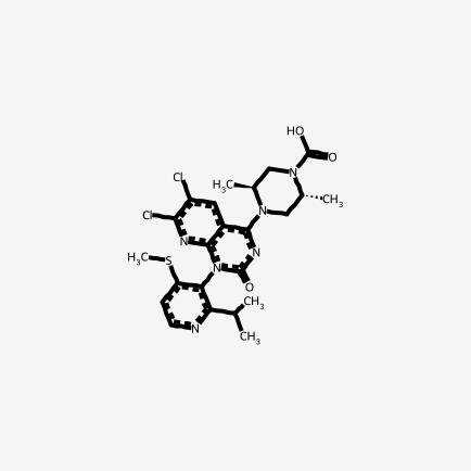 CSc1ccnc(C(C)C)c1-n1c(=O)nc(N2C[C@@H](C)N(C(=O)O)C[C@@H]2C)c2cc(Cl)c(Cl)nc21